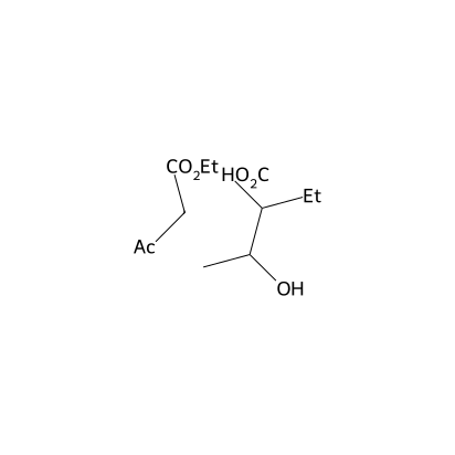 CCC(C(=O)O)C(C)O.CCOC(=O)CC(C)=O